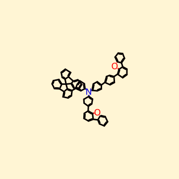 C1=C(c2cccc3c2oc2ccccc23)CCC(N(c2ccc(-c3ccc(-c4cccc5c4oc4ccccc45)cc3)cc2)c2cccc(-c3cccc4c3C3(c5ccccc5-c5ccccc53)c3ccccc3-4)c2)=C1